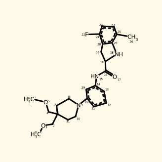 COCC1(COC)CCN(c2cccc(NC(=O)C3Cc4c(F)ccc(C)c4N3)c2)CC1